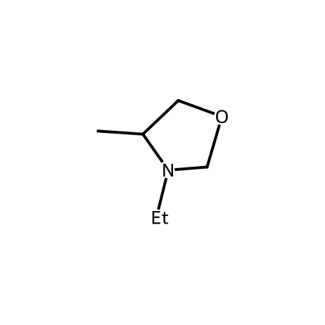 CCN1COCC1C